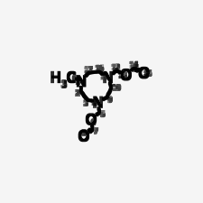 CN1CCN(COC=O)CCN(COC=O)CC1